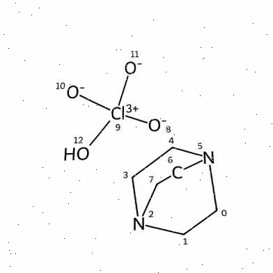 C1CN2CCN1CC2.[O-][Cl+3]([O-])([O-])O